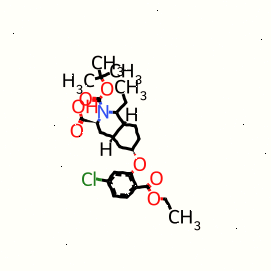 CCOC(=O)c1ccc(Cl)cc1O[C@H]1CC[C@H]2C(CC)N(C(=O)OC(C)(C)C)[C@H](C(=O)O)C[C@H]2C1